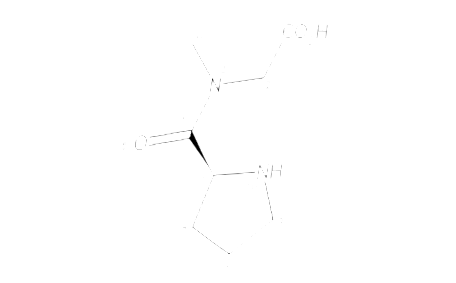 CN(CC(=O)O)C(=O)[C@@H]1CCCN1